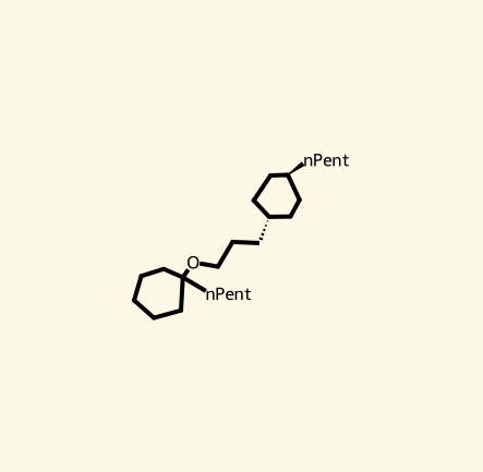 CCCCCC1(OCCC[C@H]2CC[C@H](CCCCC)CC2)CCCCC1